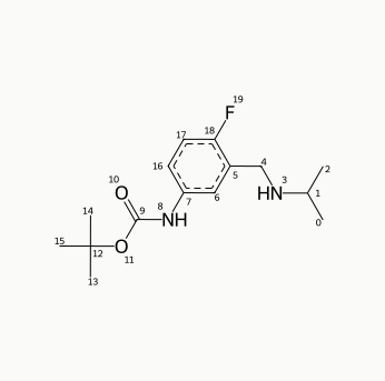 CC(C)NCc1cc(NC(=O)OC(C)(C)C)ccc1F